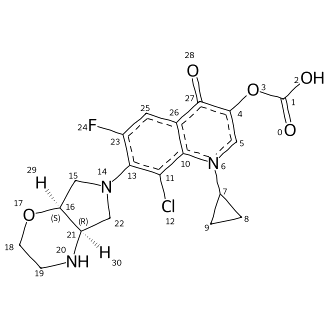 O=C(O)Oc1cn(C2CC2)c2c(Cl)c(N3C[C@@H]4OCCN[C@@H]4C3)c(F)cc2c1=O